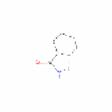 O=C1NSC2CCCCC12